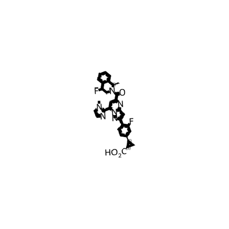 C[C@@H]1c2ccccc2C(F)CN1C(=O)c1cc(-c2nccn2C)n2nc(-c3ccc([C@H]4C[C@@H]4C(=O)O)cc3F)cc2n1